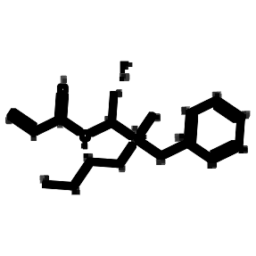 C=CC(=O)OC(C)[N+](C)(CCCC)Cc1ccccc1.[F-]